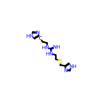 N=C(NCCCc1c[nH]cn1)NCCSCc1c[nH]cn1